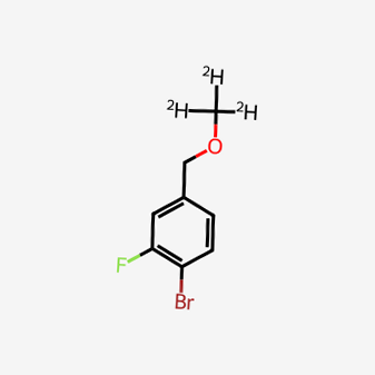 [2H]C([2H])([2H])OCc1ccc(Br)c(F)c1